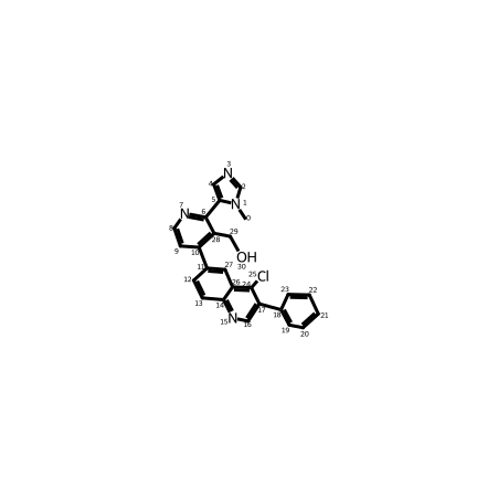 Cn1cncc1-c1nccc(-c2ccc3ncc(-c4ccccc4)c(Cl)c3c2)c1CO